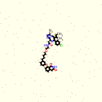 Cc1sc2c(c1C)C(c1ccc(Cl)cc1)=N[C@@H](CC(=O)NCCOCCCCCc1cccc(Oc3cccc4c3C(=O)NC(=O)C4)c1)c1nnc(C)n1-2